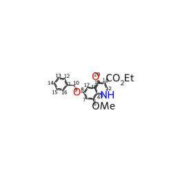 CCOC(=O)c1c[nH]c2c(OC)cc(OCc3ccccc3)cc2c1=O